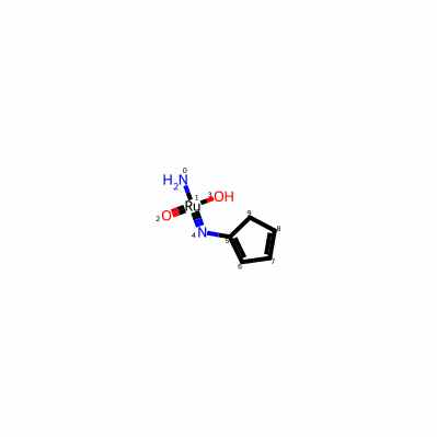 [NH2][Ru](=[O])([OH])=[N]C1=CC=CC1